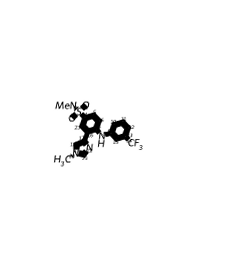 CNS(=O)(=O)c1ccc(Nc2cccc(C(F)(F)F)c2)c(-c2cn(C)cn2)c1